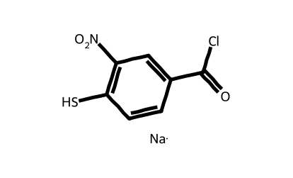 O=C(Cl)c1ccc(S)c([N+](=O)[O-])c1.[Na]